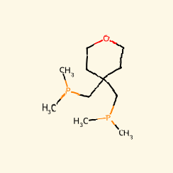 CP(C)CC1(CP(C)C)CCOCC1